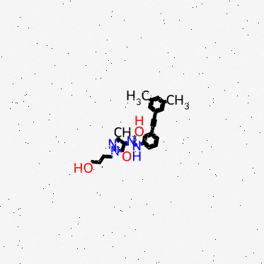 CC1=NN(CCCCO)C(=O)C1=NNc1cccc(C#Cc2cc(C)cc(C)c2)c1O